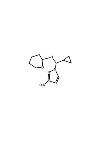 O=[N+]([O-])c1ccn(C(OC2CCCCO2)C2CC2)n1